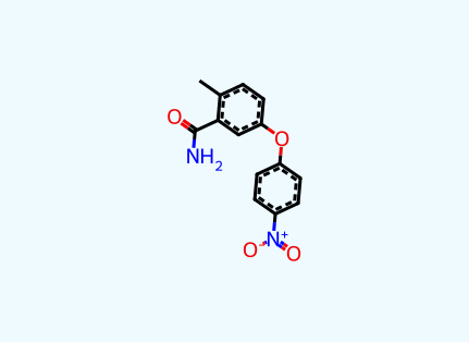 Cc1ccc(Oc2ccc([N+](=O)[O-])cc2)cc1C(N)=O